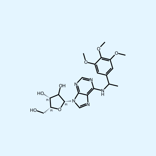 COc1cc(C(C)Nc2ncnc3c2ncn3[C@@H]2O[C@H](CO)[C@H](O)C2O)cc(OC)c1OC